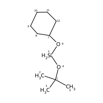 CC(C)(C)O[SiH2]OC1CCCCC1